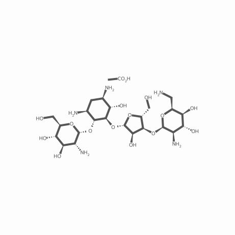 CC(=O)O.NC[C@@H]1O[C@H](O[C@H]2[C@@H](O)[C@H](O[C@@H]3[C@@H](O)[C@H](N)C[C@H](N)[C@H]3O[C@H]3O[C@H](CO)[C@@H](O)[C@H](O)[C@H]3N)O[C@@H]2CO)[C@H](N)[C@@H](O)[C@@H]1O